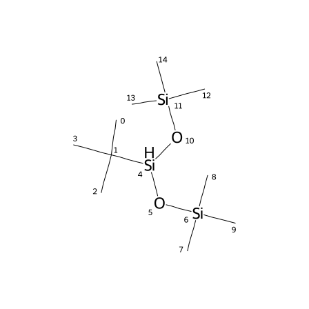 CC(C)(C)[SiH](O[Si](C)(C)C)O[Si](C)(C)C